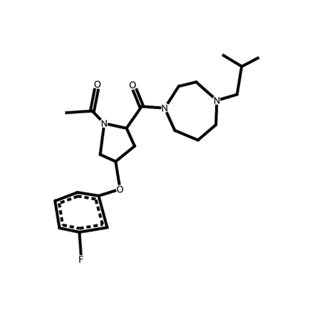 CC(=O)N1CC(Oc2cccc(F)c2)CC1C(=O)N1CCCN(CC(C)C)CC1